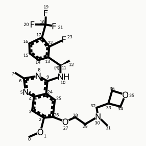 COc1cc2nc(C)nc(N[C@H](C)c3cccc(C(F)(F)F)c3F)c2cc1OCCN(C)CC1COC1